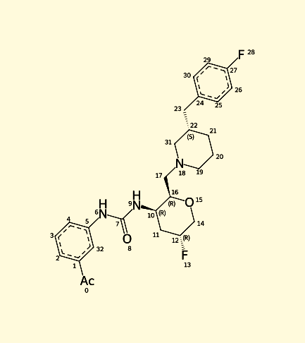 CC(=O)c1cccc(NC(=O)N[C@@H]2C[C@@H](F)CO[C@@H]2CN2CCC[C@@H](Cc3ccc(F)cc3)C2)c1